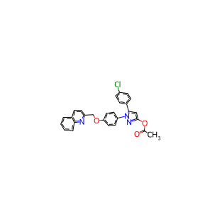 CC(=O)Oc1cc(-c2ccc(Cl)cc2)n(-c2ccc(OCc3ccc4ccccc4n3)cc2)n1